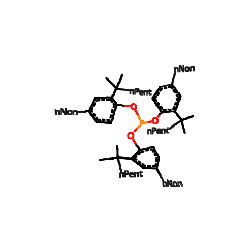 CCCCCCCCCc1ccc(OP(Oc2ccc(CCCCCCCCC)cc2C(C)(C)CCCCC)Oc2ccc(CCCCCCCCC)cc2C(C)(C)CCCCC)c(C(C)(C)CCCCC)c1